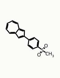 CS(=O)(=O)c1ccc(-c2cc3cccccc-3c2)cc1